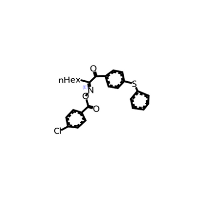 CCCCCC/C(=N\OC(=O)c1ccc(Cl)cc1)C(=O)c1ccc(Sc2ccccc2)cc1